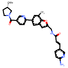 CO[C@H]1CCN(C(=O)c2ccc(-c3cc(C(F)(F)F)c4oc(CNC(=O)/C=C/c5ccc(N)nc5)cc4c3)nc2)C1